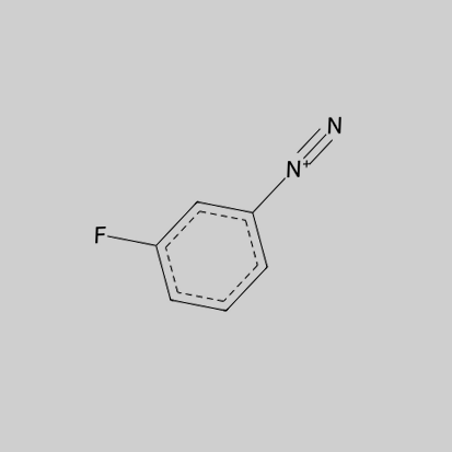 N#[N+]c1cccc(F)c1